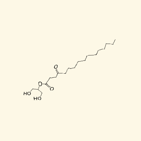 CCCCCCCCCCCCC(=O)CCC(=O)OC(CO)CO